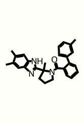 Cc1cccc(-c2ccccc2C(=O)N2CCCC2(C)c2nc3cc(C)c(C)cc3[nH]2)c1